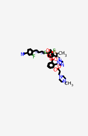 C[C@@H](S[C@H]1CO[C@H](/C=C/C=C/c2ccc(C#N)cc2F)OC1)[C@@](Cn1cncn1)(OC(=O)c1ccccc1COC(=O)CCN1CCN(C)CC1)c1ccc(F)cc1F